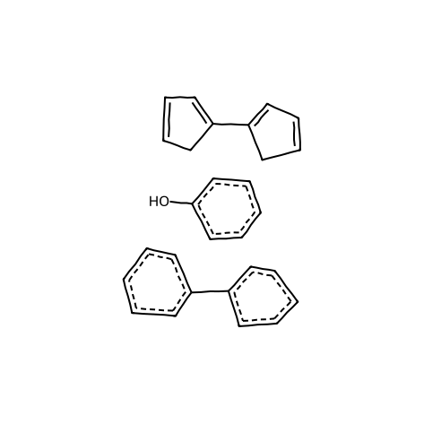 C1=CCC(C2=CC=CC2)=C1.Oc1ccccc1.c1ccc(-c2ccccc2)cc1